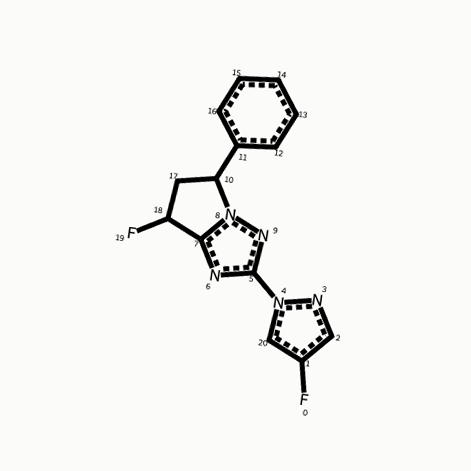 Fc1cnn(-c2nc3n(n2)C(c2ccccc2)CC3F)c1